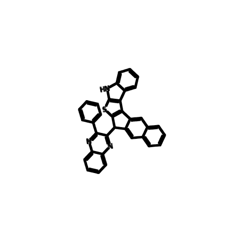 c1ccc(-c2nc3ccccc3nc2C2c3cc4ccccc4cc3-c3c2sc2[nH]c4ccccc4c32)cc1